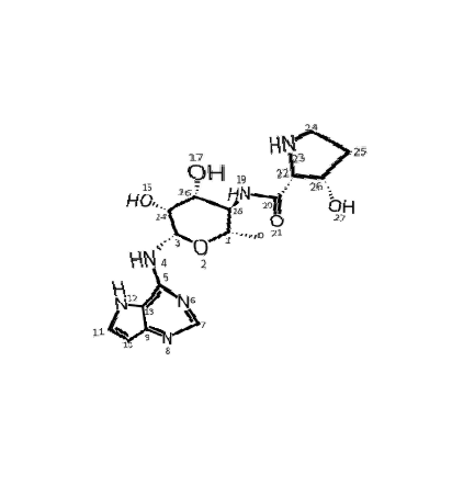 C[C@@H]1O[C@H](Nc2ncnc3cc[nH]c23)[C@H](O)[C@H](O)[C@H]1NC(=O)[C@@H]1NCC[C@@H]1O